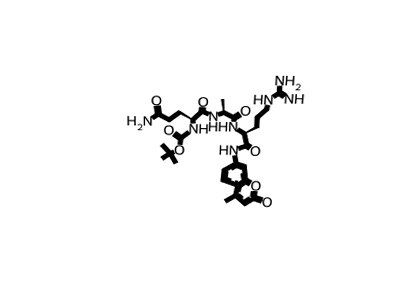 Cc1cc(=O)oc2cc(NC(=O)[C@H](CCCNC(=N)N)NC(=O)[C@H](C)NC(=O)[C@H](CCC(N)=O)NC(=O)OC(C)(C)C)ccc12